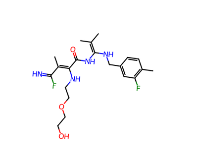 CC(C)=C(NCc1ccc(C)c(F)c1)NC(=O)/C(NCCOCCO)=C(\C)C(=N)F